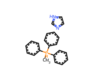 C[PH](c1ccccc1)(c1ccccc1)c1ccccc1.c1c[nH]cn1